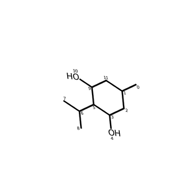 CC1CC(O)C(C(C)C)C(O)C1